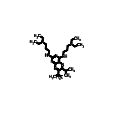 CCN(CC)CCCNc1nc(NCCCN(CC)CC)c2nc(C(C)C)c(C(C)C)nc2n1